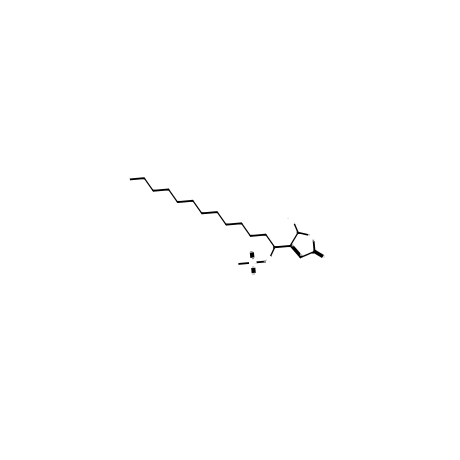 CCCCCCCCCCCCC(NS(C)(=O)=O)C1=CC(=O)OC1O